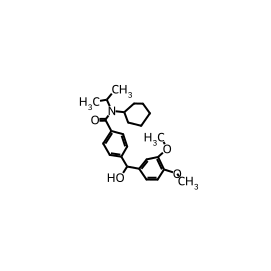 COc1ccc(C(O)c2ccc(C(=O)N(C(C)C)C3CCCCC3)cc2)cc1OC